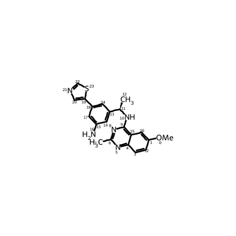 COc1[c]cc2nc(C)nc(N[C@H](C)c3cc(N)cc(-c4cncs4)c3)c2c1